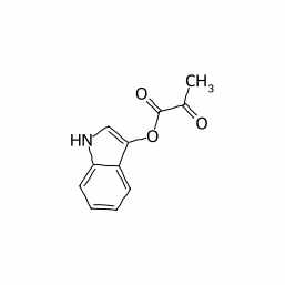 CC(=O)C(=O)Oc1c[nH]c2ccccc12